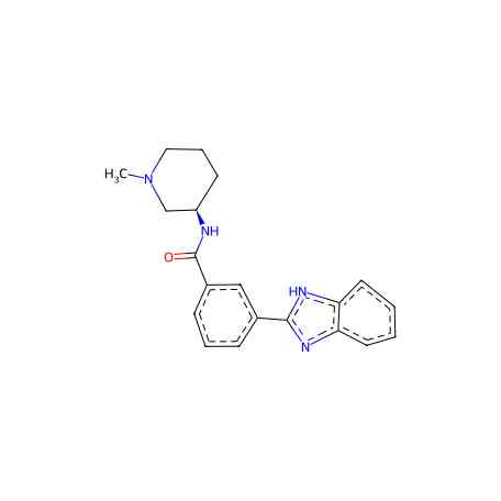 CN1CCC[C@@H](NC(=O)c2cccc(-c3nc4ccccc4[nH]3)c2)C1